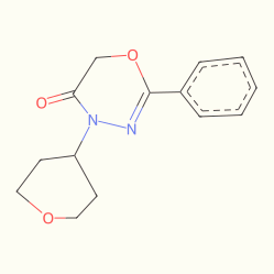 O=C1COC(c2ccccc2)=NN1C1CCOCC1